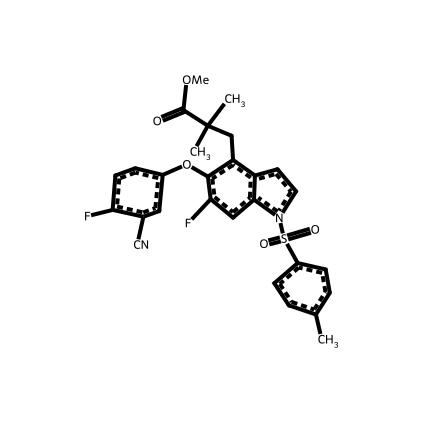 COC(=O)C(C)(C)Cc1c(Oc2ccc(F)c(C#N)c2)c(F)cc2c1ccn2S(=O)(=O)c1ccc(C)cc1